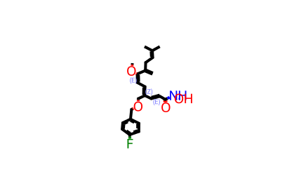 C=C(CC=C(C)C)\C(=C/C=C(/C=C/C(=O)NO)COCc1ccc(F)cc1)OC